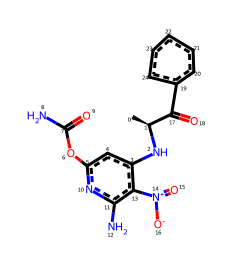 C[C@H](Nc1cc(OC(N)=O)nc(N)c1[N+](=O)[O-])C(=O)c1ccccc1